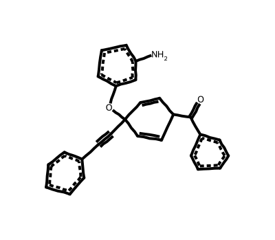 Nc1cccc(OC2(C#Cc3ccccc3)C=CC(C(=O)c3ccccc3)C=C2)c1